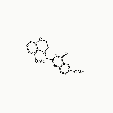 COc1ccc2nc(CN3CCOc4cccc(OC)c43)[nH]c(=O)c2c1